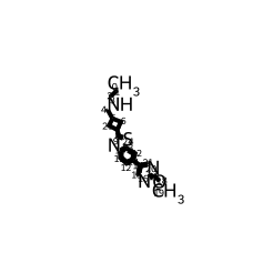 CCCNCC1CC(c2nc3ccc(-c4cnc(OC)nc4)cc3s2)C1